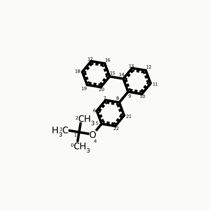 CC(C)(C)Oc1ccc(-c2ccccc2-c2ccccc2)cc1